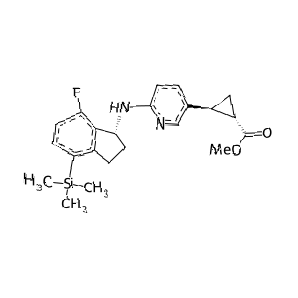 COC(=O)[C@H]1C[C@@H]1c1ccc(N[C@@H]2CCc3c([Si](C)(C)C)ccc(F)c32)nc1